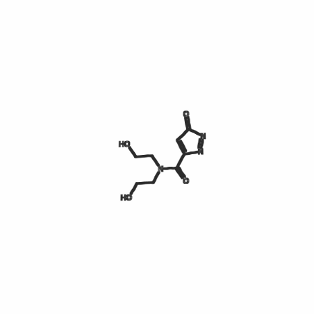 O=C1C=C(C(=O)N(CCO)CCO)N=N1